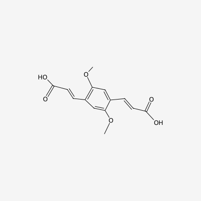 COc1cc(/C=C/C(=O)O)c(OC)cc1/C=C/C(=O)O